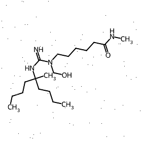 CCCCC(C)(CCCC)NC(=N)N(CO)CCCCCC(=O)NC